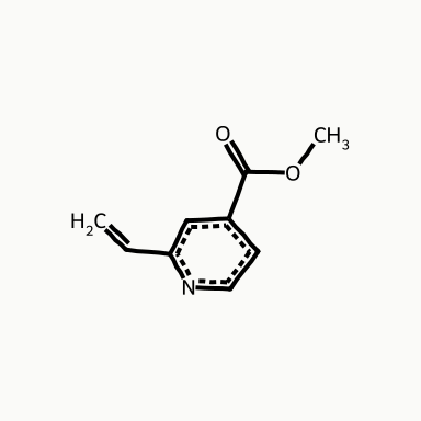 C=Cc1cc(C(=O)OC)ccn1